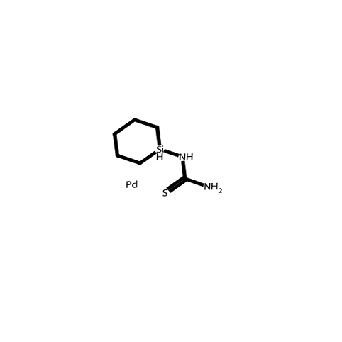 NC(=S)N[SiH]1CCCCC1.[Pd]